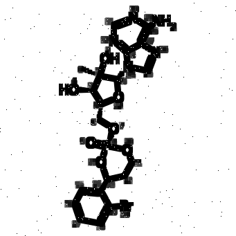 C[C@@]1(O)[C@H](O)[C@@H](CO[P@@]2(=O)OCC[C@@H](c3ccccc3Br)O2)O[C@H]1n1cnc2c(N)ncnc21